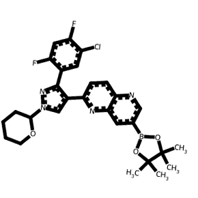 CC1(C)OB(c2cnc3ccc(-c4cn(C5CCCCO5)nc4-c4cc(Cl)c(F)cc4F)nc3c2)OC1(C)C